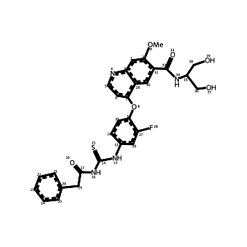 COc1cc2nccc(Oc3ccc(NC(=S)NC(=O)Cc4ccccc4)cc3F)c2cc1C(=O)NC(CO)CO